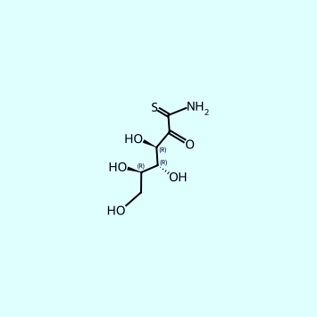 NC(=S)C(=O)[C@H](O)[C@H](O)[C@H](O)CO